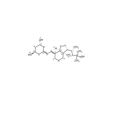 C[C@H](CC(C)(C)O)[C@H]1CC[C@@H]2/C(=C/C=C3C[C@@H](O)C[C@H](O)C3)CCC[C@@]21C